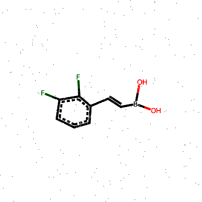 OB(O)C=Cc1cccc(F)c1F